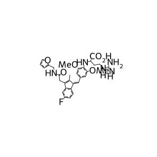 [H]/N=C(/N)NCCC(Nc1c(OC)cc(C=C2C(C)=C(CC(=O)NCc3ccco3)c3cc(F)ccc32)cc1OC)C(=O)O